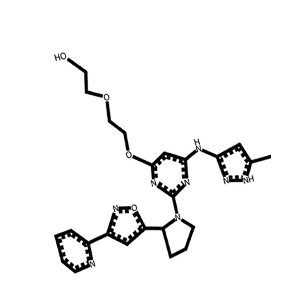 Cc1cc(Nc2cc(OCCOCCO)nc(N3CCCC3c3cc(-c4ccccn4)no3)n2)n[nH]1